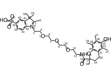 CC1=[N+](CCOCCOCCOCCNC(=O)C2(C)CCc3c(C)c(O)c(C)c(C)c3O2)c2ccc(S(=O)(=O)O)cc2C1(C)C